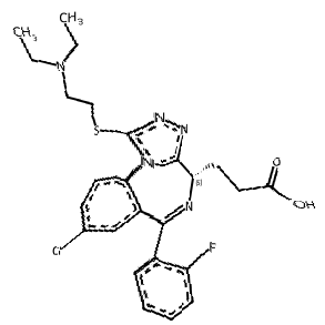 CCN(CC)CCSc1nnc2n1-c1ccc(Cl)cc1C(c1ccccc1F)=N[C@H]2CCC(=O)O